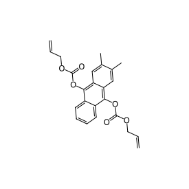 C=CCOC(=O)Oc1c2ccccc2c(OC(=O)OCC=C)c2cc(C)c(C)cc12